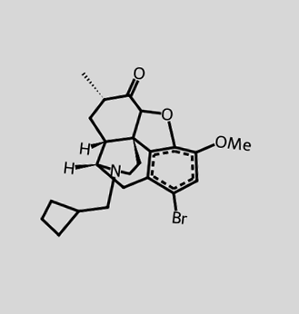 COc1cc(Br)c2c3c1OC1C(=O)[C@@H](C)C[C@H]4[C@@H](C2)N(CC2CCC2)CC[C@]314